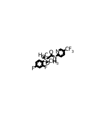 CC(C)(C(=O)Nc1ccc(C(F)(F)F)cn1)S(=O)(=O)c1ccc(F)cc1F